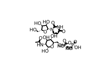 CC(=O)N[C@@H]1[C@@H](O)[C@H](O)[C@@H](CO)O[C@@H]1O.O=P(O)(O)OP(=O)(O)O.O=c1ccn([C@@H]2O[C@H](CO)[C@@H](O)[C@H]2O)c(=O)[nH]1